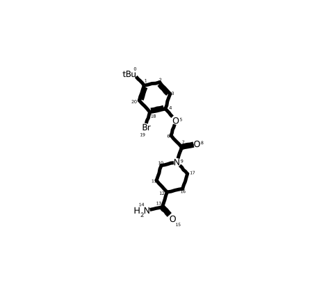 CC(C)(C)c1ccc(OCC(=O)N2CCC(C(N)=O)CC2)c(Br)c1